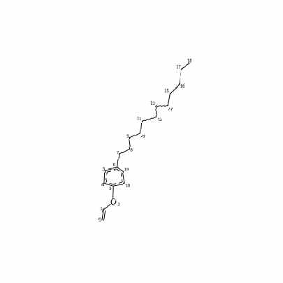 C=COc1ccc(CCCCCCCCCCCC)cc1